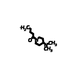 [CH2]CCCC(=O)N1CCC(N(C)C)CC1